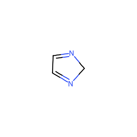 C1=NCN=C1